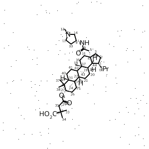 CC(C)[C@@H]1CC[C@]2(CC(=O)N[C@@H]3CCN(C)C3)CC[C@]3(C)[C@H](CC[C@@H]4[C@@]5(C)CC[C@H](OC(=O)CC(C)(C)C(=O)O)C(C)(C)[C@@H]5CC[C@]43C)[C@@H]12